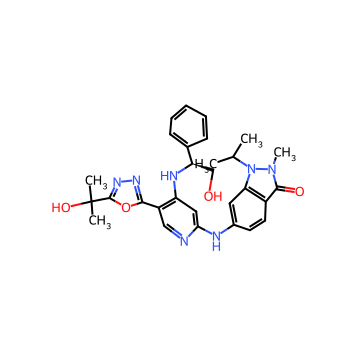 CC(C)n1c2cc(Nc3cc(N[C@H](CO)c4ccccc4)c(-c4nnc(C(C)(C)O)o4)cn3)ccc2c(=O)n1C